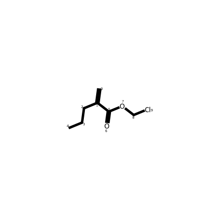 C=C(CCC)C(=O)OCCl